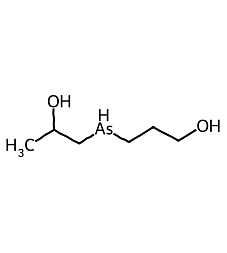 CC(O)C[AsH]CCCO